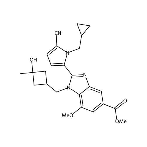 COC(=O)c1cc(OC)c2c(c1)nc(-c1ccc(C#N)n1CC1CC1)n2CC1CC(C)(O)C1